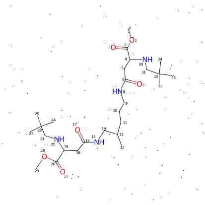 COC(=O)C(CC(=O)NCCCC(C)CNC(=O)CC(NCC(C)(C)C)C(=O)OC)NCC(C)(C)C